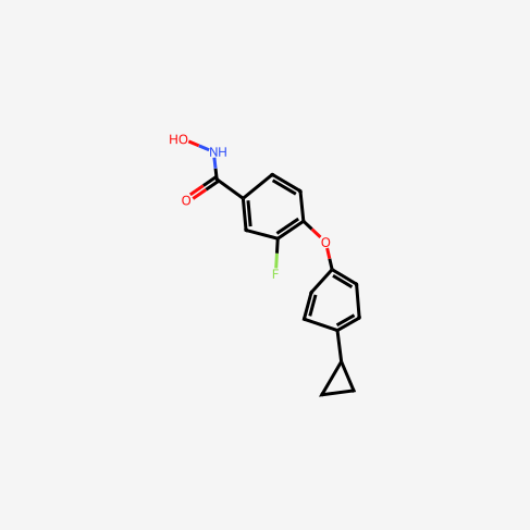 O=C(NO)c1ccc(Oc2ccc(C3CC3)cc2)c(F)c1